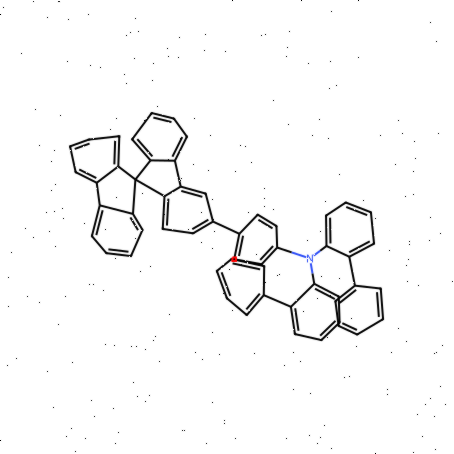 c1ccc(-c2ccccc2N(c2ccc(-c3ccc4c(c3)-c3ccccc3C43c4ccccc4-c4ccccc43)cc2)c2ccccc2-c2ccccc2)cc1